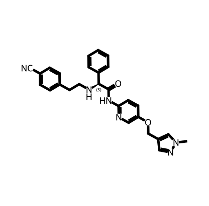 Cn1cc(COc2ccc(NC(=O)[C@@H](NCCc3ccc(C#N)cc3)c3ccccc3)nc2)cn1